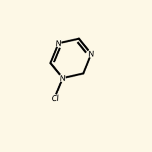 ClN1C=NC=NC1